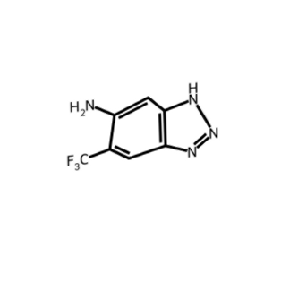 Nc1cc2[nH]nnc2cc1C(F)(F)F